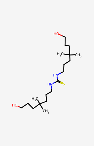 CC(C)(CCCO)CCCNC(=S)NCCCC(C)(C)CCCO